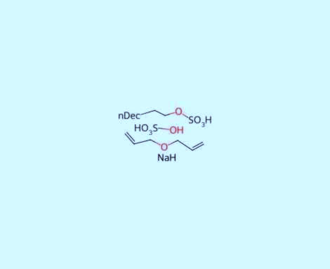 C=CCOCC=C.CCCCCCCCCCCCOS(=O)(=O)O.O=S(=O)(O)O.[NaH]